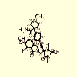 COc1ccc2c(c1F)C(=O)N(C[C@@]1(C#Cc3ccc(C4(C(N)=O)CCN(C)CC4)cc3)NC(=O)NC1=O)C2